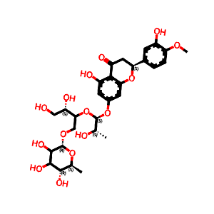 COc1ccc([C@@H]2CC(=O)c3c(O)cc(O[C@H](OC(CO[C@@H]4O[C@@H](C)[C@H](O)C(O)C4O)[C@@H](O)CO)[C@H](C)O)cc3O2)cc1O